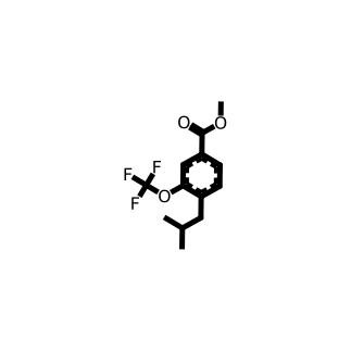 COC(=O)c1ccc(CC(C)C)c(OC(F)(F)F)c1